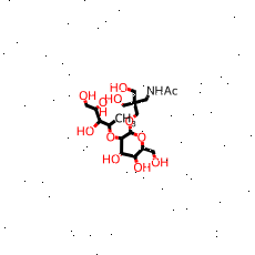 CC(=O)NCC(CO)(CO)COC1OC(CO)C(O)C(O)C1OC(C)C(O)C(O)CO